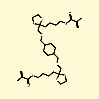 C=C(C)C(=O)SCCCCC1(CSCC2CCC(CSCC3(CCCCSC(=O)C(=C)C)SCCS3)CC2)SCCS1